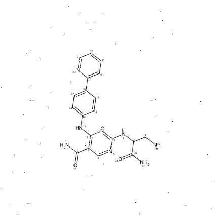 CC(C)CC(Nc1ncc(C(N)=O)c(Nc2ccc(-c3ccccn3)cc2)n1)C(N)=O